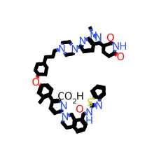 Cc1cc(OC2CCC(CCCN3CCN(c4ccc5c(C6CCC(=O)NC6=O)nn(C)c5n4)CC3)CC2)ccc1-c1ccc(N2CCc3cccc(C(=O)Nc4nc5ccccc5s4)c3C2)nc1C(=O)O